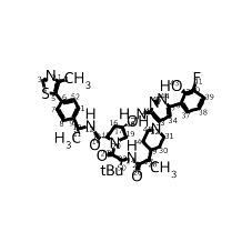 Cc1ncsc1-c1ccc([C@H](C)NC(=O)[C@@H]2C[C@@H](O)CN2C(=O)[C@@H](NC(=O)C(C)C2CCN(c3cc(-c4cccc(F)c4O)nnc3N)CC2)C(C)(C)C)cc1